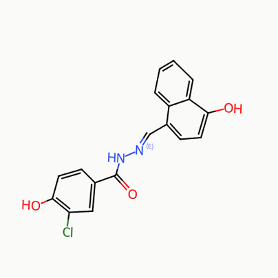 O=C(N/N=C/c1ccc(O)c2ccccc12)c1ccc(O)c(Cl)c1